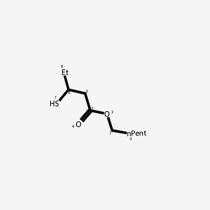 CCCCCCOC(=O)CC(S)CC